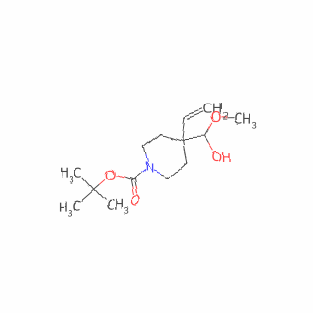 C=CC1(C(O)OC)CCN(C(=O)OC(C)(C)C)CC1